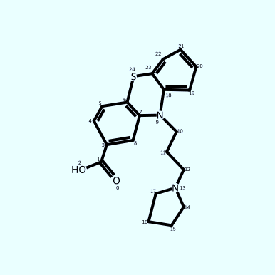 O=C(O)c1ccc2c(c1)N(CCCN1CCCC1)c1ccccc1S2